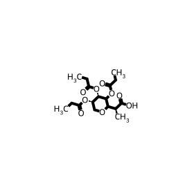 CCC(=O)OC1C([C@H](C)C(=O)O)OC[C@H](OC(=O)CC)[C@@H]1OC(=O)CC